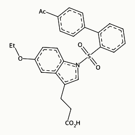 CCOc1ccc2c(c1)c(CCC(=O)O)cn2S(=O)(=O)c1ccccc1-c1ccc(C(C)=O)cc1